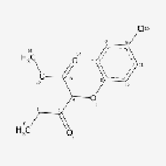 CCC(=O)C(Oc1ccc(Cl)cc1)C(=O)OC